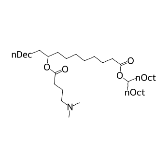 CCCCCCCCCCCC(CCCCCCCC(=O)OC(CCCCCCCC)CCCCCCCC)OC(=O)CCCN(C)C